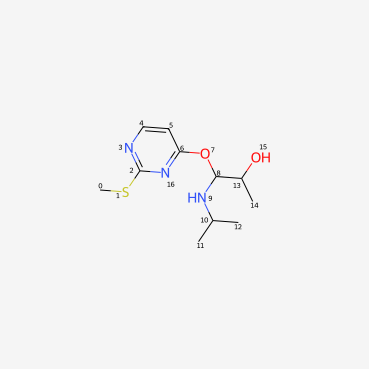 CSc1nccc(OC(NC(C)C)C(C)O)n1